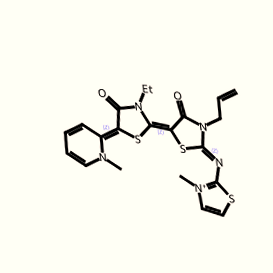 C=CCN1C(=O)/C(=c2/s/c(=C3/C=CC=CN3C)c(=O)n2CC)S/C1=N\c1scc[n+]1C